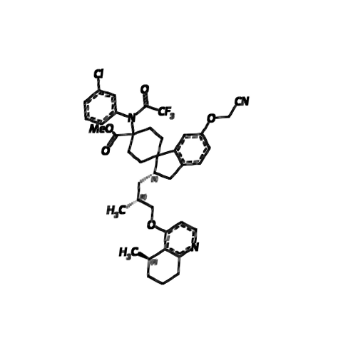 COC(=O)C1(N(C(=O)C(F)(F)F)c2cccc(Cl)c2)CCC2(CC1)c1cc(OCC#N)ccc1C[C@@H]2C[C@@H](C)COc1ccnc2c1[C@H](C)CCC2